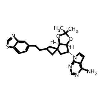 CC1(C)O[C@H]2[C@H](n3ccc4c(N)ncnc43)CC3(CC(CCc4ccc5scnc5c4)C3)[C@H]2O1